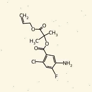 C=CCOC(=O)C(C)(C)OC(=O)c1cc(N)c(F)cc1Cl